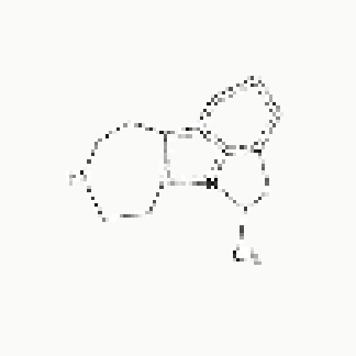 CC1Cc2cccc3c4c(n1c23)CCNCC4